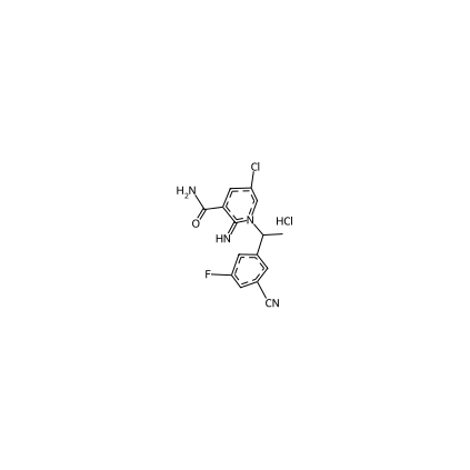 CC(c1cc(F)cc(C#N)c1)n1cc(Cl)cc(C(N)=O)c1=N.Cl